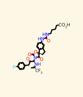 C[C@H](NC(C(=O)Cc1ccc(F)cc1)N1C(=O)O[C@@]2(CCc3cc(NC(=O)NCCCCC(=O)O)ccc32)C1=O)C(F)(F)F